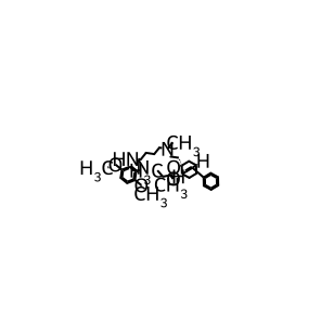 COc1ccc(OC)c2[nH]c(CCCN(C)CC[C@]3(OC(=O)C(C)C)C[C@H]4CC[C@@H]3C=C4c3ccccc3)nc12